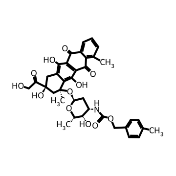 Cc1ccc(COC(=O)N[C@H]2C[C@H](O[C@@]3(C)C[C@](O)(C(=O)CO)Cc4c(O)c5c(c(O)c43)C(=O)c3c(C)cccc3C5=O)O[C@@H](C)[C@H]2O)cc1